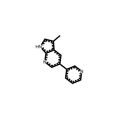 Cc1c[nH]c2ncc(-c3cccnc3)cc12